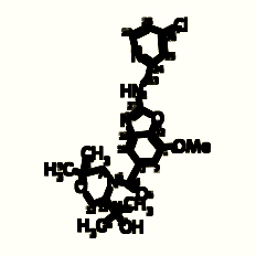 COc1cc(C(=O)N2CC(C)(C)OCC2C(C)(C)O)cc2nc(NCc3cc(Cl)ccn3)oc12